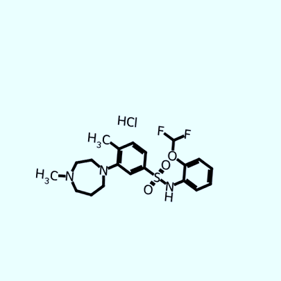 Cc1ccc(S(=O)(=O)Nc2ccccc2OC(F)F)cc1N1CCCN(C)CC1.Cl